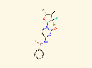 CC[C@H]1OC(n2ccc(NC(=O)c3ccccc3)nc2=O)[C@@](F)(Br)[C@@H]1C